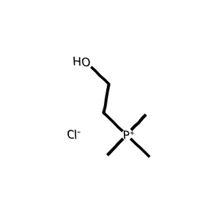 C[P+](C)(C)CCO.[Cl-]